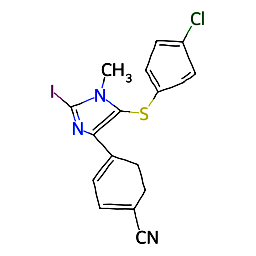 Cn1c(I)nc(C2=CC=C(C#N)CC2)c1Sc1ccc(Cl)cc1